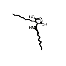 CCCCCCCCC1=C(/C(C(=O)O)=C(\CCCCCCCC)C(=O)O)N1